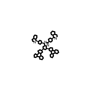 c1ccc2c(-c3ccc(-c4nc(-c5ccc(-c6nccc7ccccc67)cc5)c5cc(-c6ccc7c8ccccc8c8ccccc8c7c6)cc(-c6ccc7c8ccccc8c8ccccc8c7c6)c5n4)cc3)nccc2c1